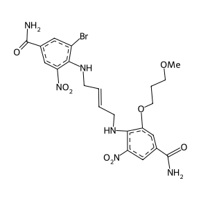 COCCCOc1cc(C(N)=O)cc([N+](=O)[O-])c1NCC=CCNc1c(Br)cc(C(N)=O)cc1[N+](=O)[O-]